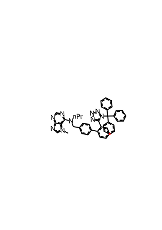 CCCN(Cc1ccc(-c2ccccc2-c2nnnn2C(c2ccccc2)(c2ccccc2)c2ccccc2)cc1)c1ncnc2ncn(C)c12